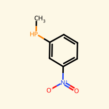 CPc1cccc([N+](=O)[O-])c1